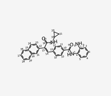 Nc1ccccc1NC(=O)c1ccc(C=C(C(=O)NC2CC2)c2ccc3ccccc3c2)cc1